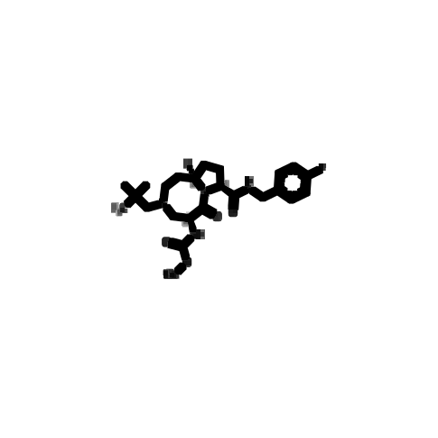 CC(C)(C)OC(=O)N[C@H]1CN(CC(C)(C)C(F)(F)F)CC[C@H]2CC[C@@H](C(=O)NCc3ccc(F)cc3)N2C1=O